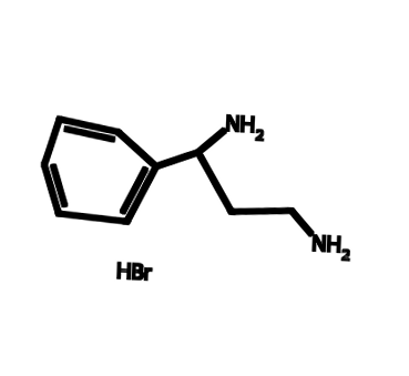 Br.NCCC(N)c1ccccc1